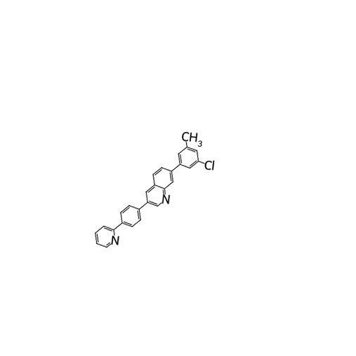 Cc1cc(Cl)cc(-c2ccc3cc(-c4ccc(-c5ccccn5)cc4)cnc3c2)c1